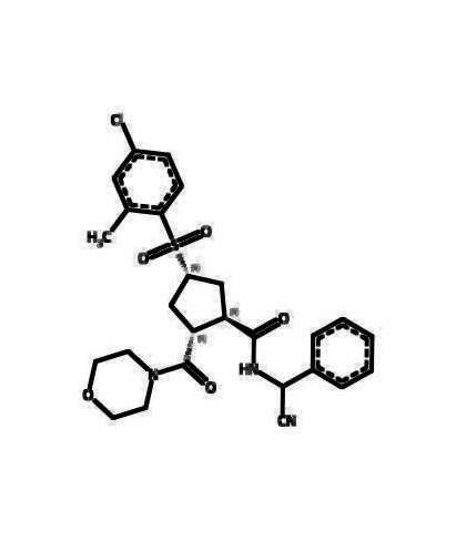 Cc1cc(Cl)ccc1S(=O)(=O)[C@@H]1C[C@@H](C(=O)NC(C#N)c2ccccc2)[C@H](C(=O)N2CCOCC2)C1